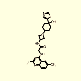 O=C(CNc1cc(C(F)(F)F)nc2ccc(C(F)(F)F)cc12)NC1CN(C2CCC(O)(c3cncs3)CC2)C1